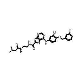 CN(C)CC(=O)NCCNC(=O)c1nc2c(Nc3ccc(OCc4cccc(F)c4)c(Cl)c3)ncnc2s1